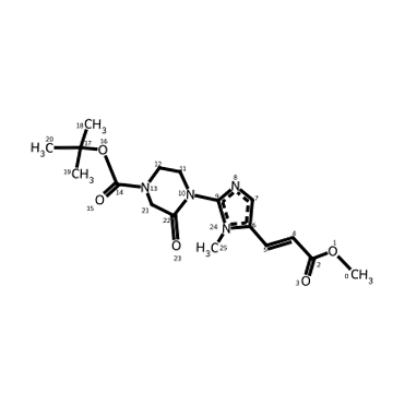 COC(=O)/C=C/c1cnc(N2CCN(C(=O)OC(C)(C)C)CC2=O)n1C